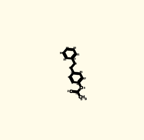 CC(=O)Oc1ccc([CH]Cc2ccccc2)cc1